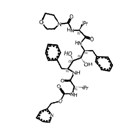 CC(C)[C@H](NC(=O)OCc1ccccn1)C(=O)N[C@@H](Cc1ccccc1)[C@H](O)[C@@H](O)[C@H](Cc1ccccc1)NC(=O)[C@@H](NC(=O)N1CCOCC1)C(C)C